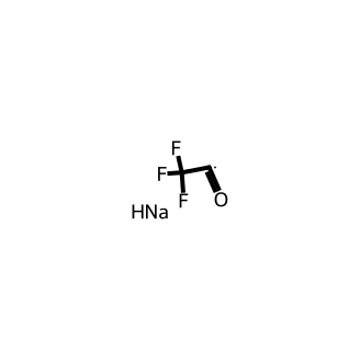 O=[C]C(F)(F)F.[NaH]